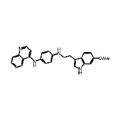 COc1ccc2c(CCNc3ccc(Nc4ccnc5ccccc45)cc3)c[nH]c2c1